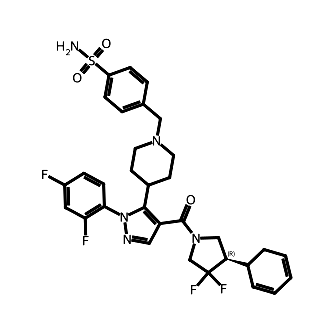 NS(=O)(=O)c1ccc(CN2CCC(c3c(C(=O)N4C[C@@H](C5C=CC=CC5)C(F)(F)C4)cnn3-c3ccc(F)cc3F)CC2)cc1